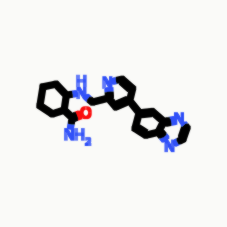 NC(=O)C1CCCCC1NCc1cc(-c2ccc3nccnc3c2)ccn1